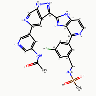 CCCC(=O)Nc1cncc(-c2cc3c(-c4nc5c(-c6cc(F)cc(CNS(C)(=O)=O)c6)nccc5[nH]4)n[nH]c3cn2)c1